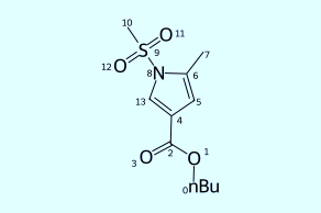 CCCCOC(=O)c1cc(C)n(S(C)(=O)=O)c1